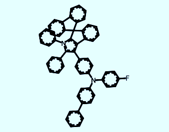 Fc1ccc(N(c2ccc(-c3ccccc3)cc2)c2ccc(-c3c4c(n(-c5ccccc5)c3-c3ccccc3)C3(c5ccccc5-c5ccccc53)c3ccccc3-4)cc2)cc1